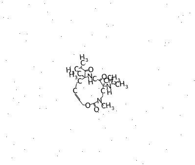 CC(C)N[C@]1(C)CCN(C)C(=O)OCC=CCCC[C@](C)(C(=O)C(C)C)NCC1=O